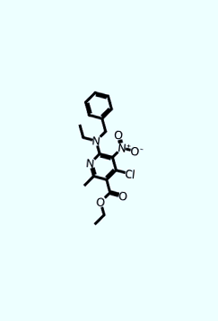 CCOC(=O)c1c(C)nc(N(CC)Cc2ccccc2)c([N+](=O)[O-])c1Cl